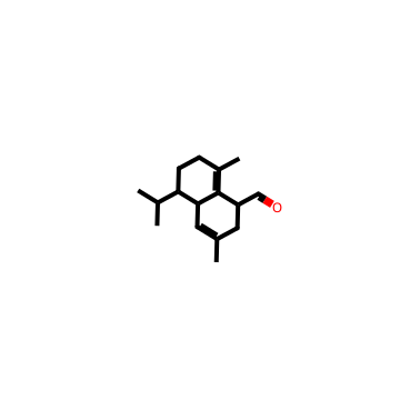 CC1=CC2C(=C(C)CCC2C(C)C)C(C=O)C1